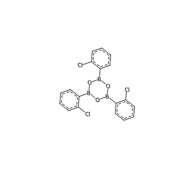 Clc1ccccc1B1OB(c2ccccc2Cl)OB(c2ccccc2Cl)O1